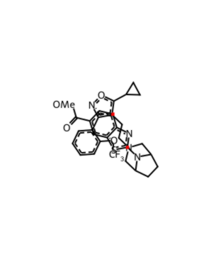 COC(=O)c1ccc2nc(N3C4CCC3CN(CCc3c(-c5ccccc5OC(F)(F)F)noc3C3CC3)C4)sc2c1